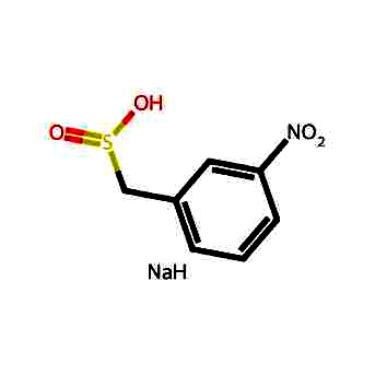 O=[N+]([O-])c1cccc(CS(=O)O)c1.[NaH]